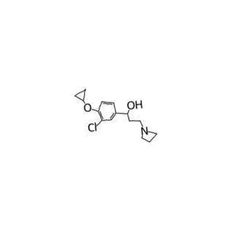 OC(CCN1CCC1)c1ccc(OC2CC2)c(Cl)c1